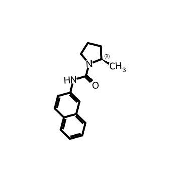 C[C@@H]1CCCN1C(=O)Nc1ccc2ccccc2c1